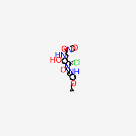 O=C(c1cc2c3c(cc(O)c2[nH]1)N(C(=O)c1cc2cc(OCC4CC4)ccc2[nH]1)C[C@H]3CCl)N1CCOCC1